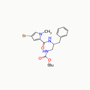 Cn1cc(Br)cc1C(=O)NC(CNC(=O)OC(C)(C)C)Cc1ccccc1